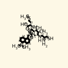 CC[C@H](C)[C@@H](CN(CC(=O)N[C@@H](CCSC)C(=O)O)S(=O)(=O)Cc1cccc2c(N(C)C)cccc12)NC[C@@H](N)CS